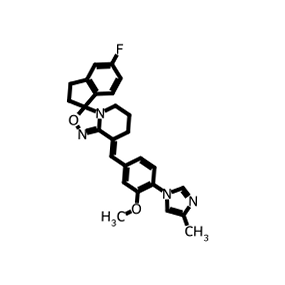 COc1cc(/C=C2\CCCN3C2=NOC32CCc3cc(F)ccc32)ccc1-n1cnc(C)c1